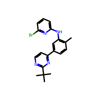 Cc1ccc(-c2ccnc(C(C)(C)C)n2)cc1Nc1cccc(Br)n1